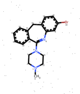 CN1CCN(C2=Nc3cc(Br)ccc3Cc3ccccc32)CC1